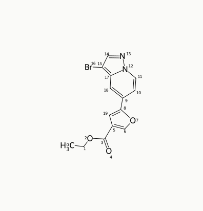 CCOC(=O)c1coc(-c2ccn3ncc(Br)c3c2)c1